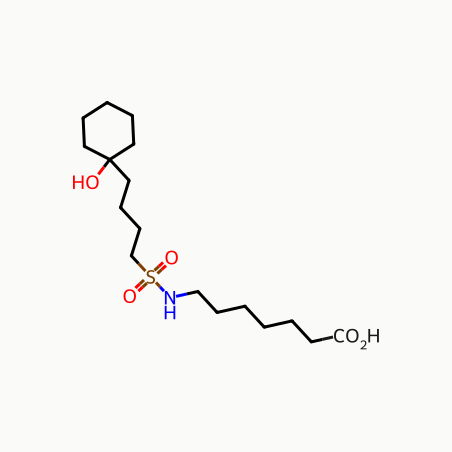 O=C(O)CCCCCCNS(=O)(=O)CCCCC1(O)CCCCC1